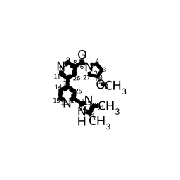 CO[C@H]1CCN(C(=O)c2cncc(-c3ccnc(-c4nc(C)c(C)[nH]4)c3)c2)C1